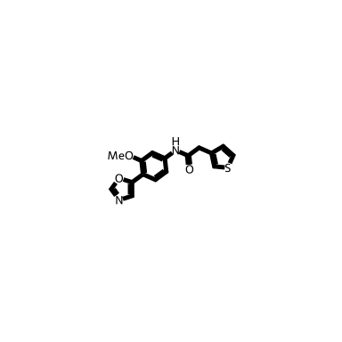 COc1cc(NC(=O)Cc2ccsc2)ccc1-c1cnco1